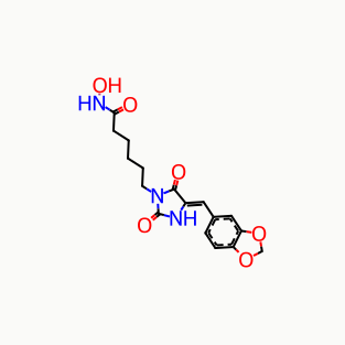 O=C(CCCCCN1C(=O)N/C(=C\c2ccc3c(c2)OCO3)C1=O)NO